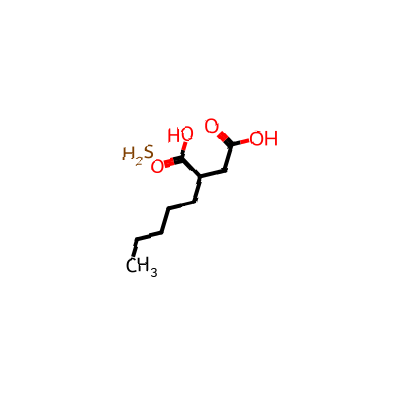 CCCCCC(CC(=O)O)C(=O)O.S